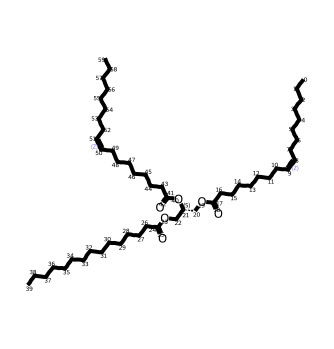 CCCCCCCC/C=C\CCCCCCCC(=O)OC[C@H](COC(=O)CCCCCCCCCCCCCC)OC(=O)CCCCCCC/C=C\CCCCCCCC